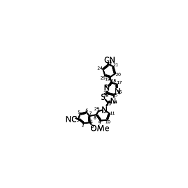 COc1cc(C#N)ccc1C1=CC=CN(c2nc3ncc(-c4ccc(C#N)cc4)nc3s2)C1